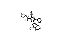 CN1CCC(OC(=O)c2nc(-c3cc(Cl)c4ncccc4c3)c(-c3ccccc3)nc2N)C1